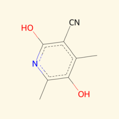 Cc1nc(O)c(C#N)c(C)c1O